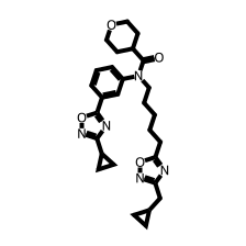 O=C(C1CCOCC1)N(CCCCCc1nc(CC2CC2)no1)c1cccc(-c2nc(C3CC3)no2)c1